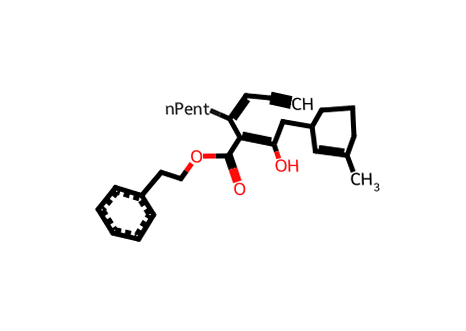 C#C/C=C(CCCCC)\C(C(=O)OCCc1ccccc1)=C(\O)CC1C=C(C)CCC1